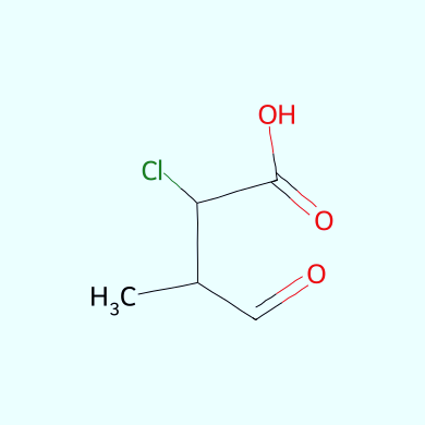 CC(C=O)C(Cl)C(=O)O